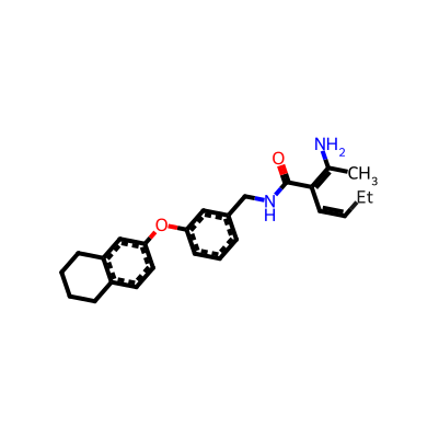 CC/C=C\C(C(=O)NCc1cccc(Oc2ccc3c(c2)CCCC3)c1)=C(/C)N